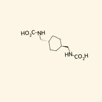 O=C(O)NC[C@H]1CC[C@H](CNC(=O)O)CC1